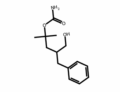 CC(C)(CC(CO)Cc1ccccc1)OC(N)=O